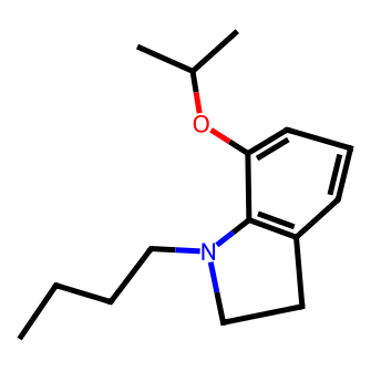 CCCCN1CCc2cccc(OC(C)C)c21